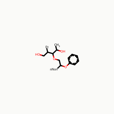 CCCCCCCCCC(COC([C](CC)CO)C(C)O)Oc1ccccc1